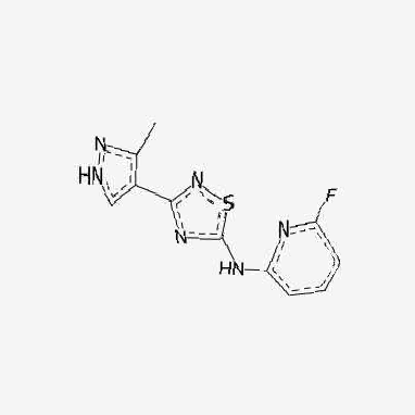 Cc1n[nH]cc1-c1nsc(Nc2cccc(F)n2)n1